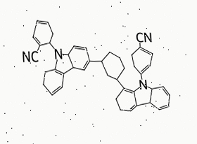 N#CC1=CC=C(N2C3=C(C4CCCC(C5=CC6C7=C(CCC=C7)N(C7CC=CC=C7C#N)C6C=C5)C4)CCC=C3C3C=CC=CC32)CC1